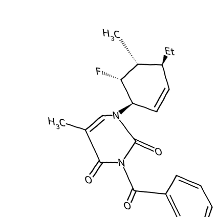 CC[C@H]1C=C[C@@H](n2cc(C)c(=O)n(C(=O)c3ccccc3)c2=O)[C@H](F)[C@@H]1C